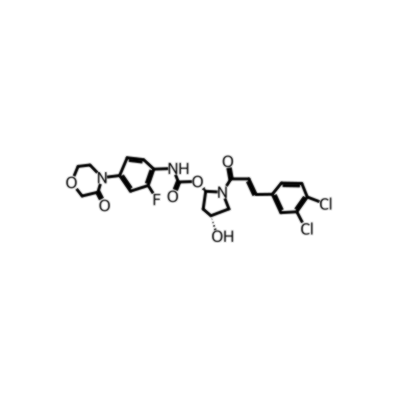 O=C(Nc1ccc(N2CCOCC2=O)cc1F)O[C@@H]1C[C@@H](O)CN1C(=O)/C=C/c1ccc(Cl)c(Cl)c1